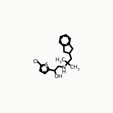 CC(C)(CC1Cc2ccccc2C1)NCC(O)c1ccc(Cl)s1